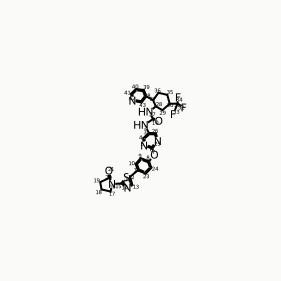 O=C(Nc1cnc(Oc2ccc(-c3cnc(N4CCCC4=O)s3)cc2)nc1)NC1CC(C(F)(F)F)CCC1c1cccnc1